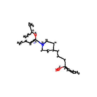 C=C=C(O)CCCC1CCN(/C(=C/CC)OC(C)C)CC1